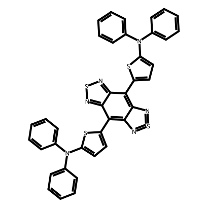 c1ccc(N(c2ccccc2)c2ccc(-c3c4c(c(-c5ccc(N(c6ccccc6)c6ccccc6)s5)c5nsnc35)N=S=N4)s2)cc1